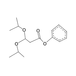 CC(C)OC(CC(=O)Oc1ccccc1)OC(C)C